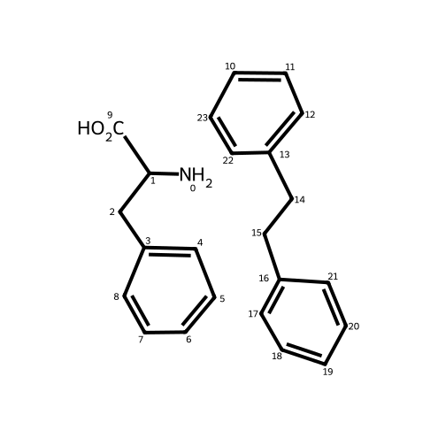 NC(Cc1ccccc1)C(=O)O.c1ccc(CCc2ccccc2)cc1